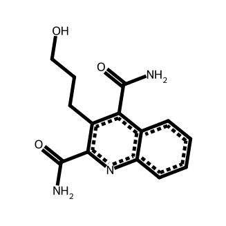 NC(=O)c1nc2ccccc2c(C(N)=O)c1CCCO